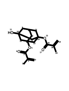 C=C(C)C(=O)OC12CC3CC(O)(C1)CC(OC(=O)C(=C)C)(C3)C2